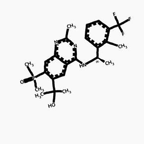 Cc1nc(N[C@H](C)c2cccc(C(F)(F)F)c2C)c2cc(C(C)(C)O)c(P(C)(C)=O)cc2n1